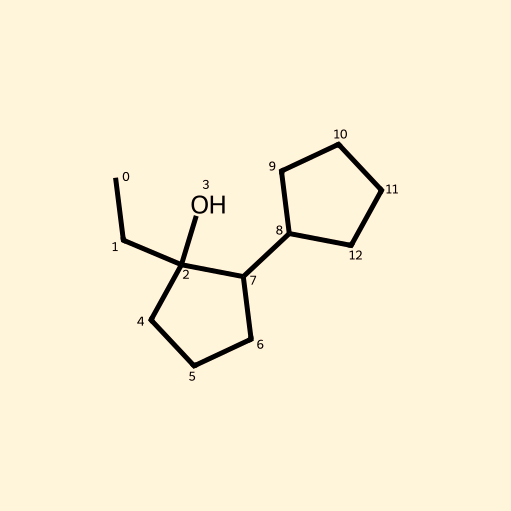 CCC1(O)CCCC1C1CCCC1